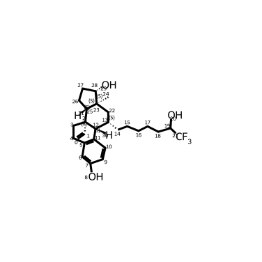 C=C[C@@]12CCc3cc(O)ccc3[C@H]1[C@@H](CCCCCC(O)C(F)(F)F)C[C@@]1(C)[C@H]2CC[C@@H]1O